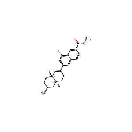 COC(=O)c1ccc2cc(C3CC[C@H]4CC(C)CC[C@@H]4C3)cc(F)c2c1